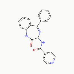 O=C(NC1N=C(c2ccccc2)c2ccccc2NC1=O)c1ccncc1